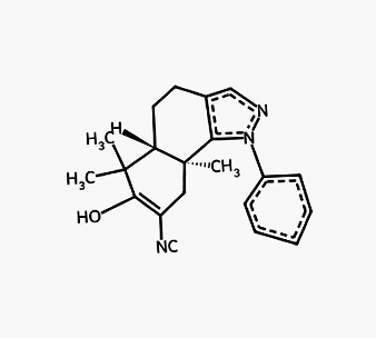 [C-]#[N+]C1=C(O)C(C)(C)[C@@H]2CCc3cnn(-c4ccccc4)c3[C@@]2(C)C1